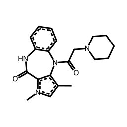 Cc1cn(C)c2c1N(C(=O)CN1CCCCC1)c1ccccc1NC2=O